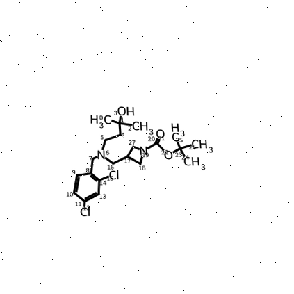 CC(C)(O)CCN(Cc1ccc(Cl)cc1Cl)CC1CN(C(=O)OC(C)(C)C)C1